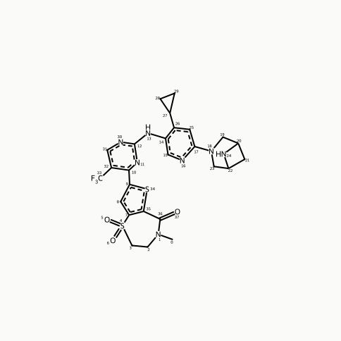 CN1CCS(=O)(=O)c2cc(-c3nc(Nc4cnc(N5CC6CC(C5)N6)cc4C4CC4)ncc3C(F)(F)F)sc2C1=O